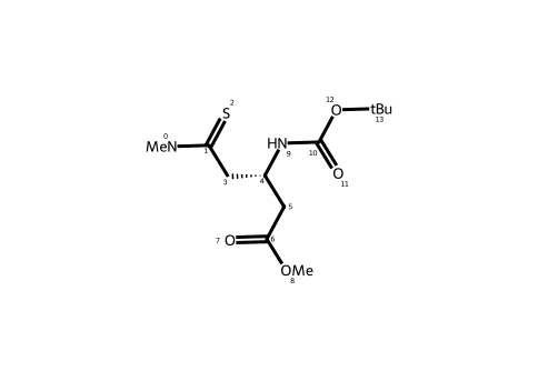 CNC(=S)C[C@@H](CC(=O)OC)NC(=O)OC(C)(C)C